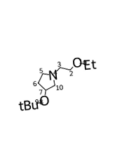 CCOCCN1CCC(OC(C)(C)C)C1